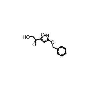 O=C(CO)c1cc(OCc2ccccc2)no1